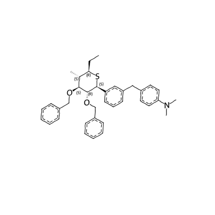 CC[C@H]1S[C@@H](c2cccc(Cc3ccc(N(C)C)cc3)c2)[C@H](OCc2ccccc2)[C@@H](OCc2ccccc2)[C@@H]1C